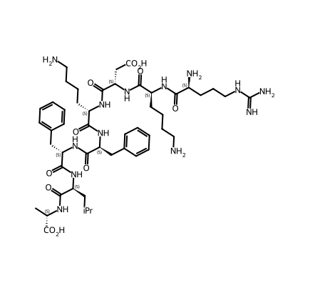 CC(C)C[C@H](NC(=O)[C@H](Cc1ccccc1)NC(=O)[C@H](Cc1ccccc1)NC(=O)[C@H](CCCCN)NC(=O)[C@H](CC(=O)O)NC(=O)[C@H](CCCCN)NC(=O)[C@@H](N)CCCNC(=N)N)C(=O)N[C@@H](C)C(=O)O